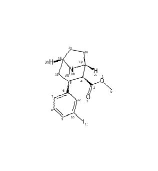 COC(=O)[C@H]1[C@@H](c2cccc(I)c2)C[C@@H]2CC[C@H]1N2C